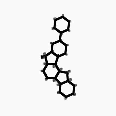 C1CCC(C2CCC3C(C2)NC2CCC4C5CCCCC5SC4C23)CC1